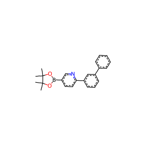 CC1(C)OB(c2ccc(-c3cccc(-c4ccccc4)c3)nc2)OC1(C)C